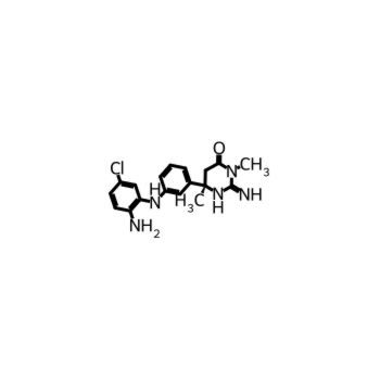 CN1C(=N)N[C@](C)(c2cccc(Nc3cc(Cl)ccc3N)c2)CC1=O